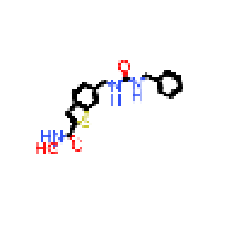 O=C(NCc1ccccc1)NCc1ccc2cc(C(=O)NO)sc2c1